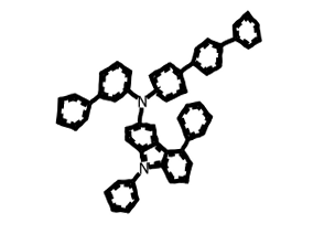 c1ccc(-c2ccc(-c3ccc(N(c4cccc(-c5ccccc5)c4)c4ccc5c(c4)c4c(-c6ccccc6)cccc4n5-c4ccccc4)cc3)cc2)cc1